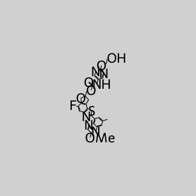 COc1cnc2c(-c3nc4cc(F)c5c(c4s3)CC(COC(=O)Nc3cnc(OCCO)nc3)O5)cc(C)cc2n1